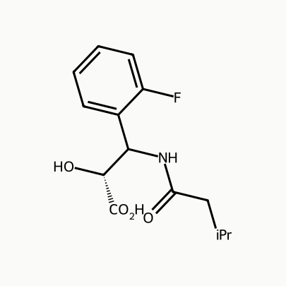 CC(C)CC(=O)NC(c1ccccc1F)[C@@H](O)C(=O)O